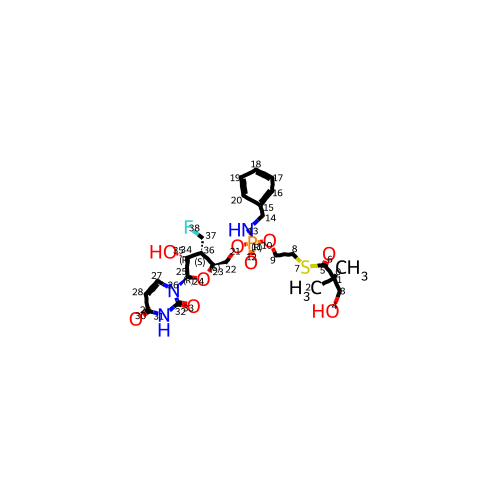 CC(C)(CO)C(=O)SCCO[P@@](=O)(NCc1ccccc1)OC[C@H]1O[C@@H](n2ccc(=O)[nH]c2=O)[C@H](O)[C@@H]1CF